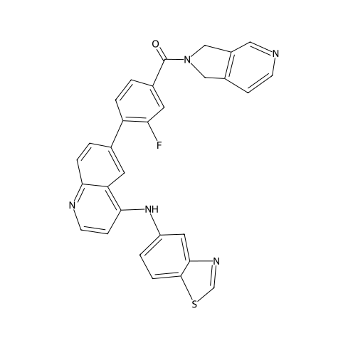 O=C(c1ccc(-c2ccc3nccc(Nc4ccc5scnc5c4)c3c2)c(F)c1)N1Cc2ccncc2C1